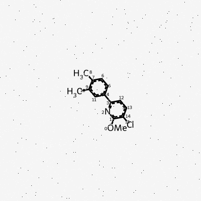 COc1nc(-c2ccc(C)c(C)c2)ccc1Cl